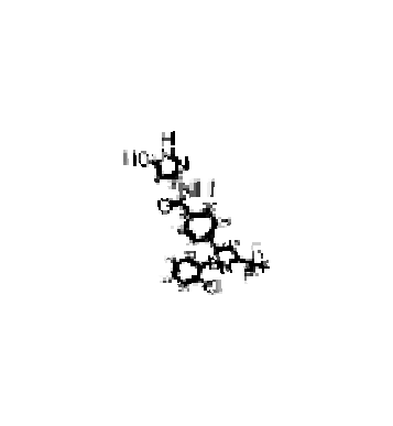 O=C(Nc1cc(O)[nH]n1)c1ccc(-c2cc(C(F)(F)F)nn2-c2ccccc2Cl)cc1